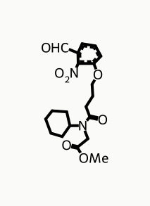 COC(=O)CN(C(=O)CCCOc1cccc(C=O)c1[N+](=O)[O-])C1CCCCC1